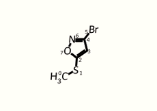 CSc1cc(Br)no1